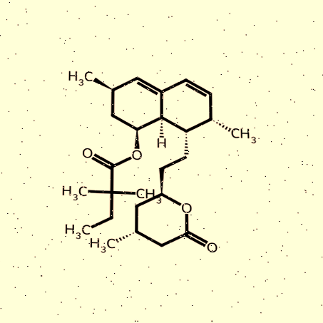 CCC(C)(C)C(=O)O[C@H]1C[C@@H](C)C=C2C=C[C@H](C)[C@H](CC[C@@H]3C[C@@H](C)CC(=O)O3)[C@H]21